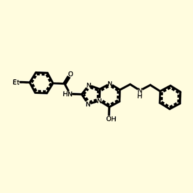 CCc1ccc(C(=O)Nc2nc3nc(CNCc4ccccc4)cc(O)n3n2)cc1